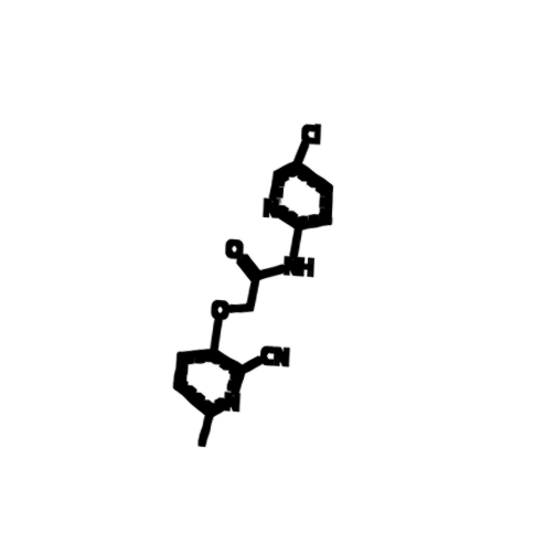 Cc1ccc(OCC(=O)Nc2ccc(Cl)cn2)c(C#N)n1